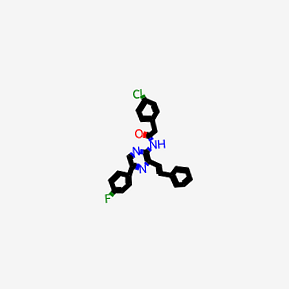 O=C(Cc1ccc(Cl)cc1)Nc1ncc(-c2ccc(F)cc2)nc1/C=C/c1ccccc1